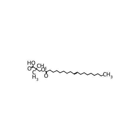 CCCCCCCCC=CCCCCCCCC(=O)OCC(C)(C)C(=O)O